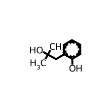 CC(C)(O)Cc1ccccc1O